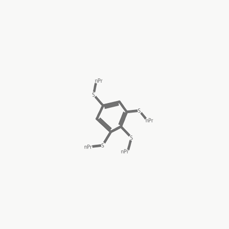 CCCSc1cc(SCCC)c(SCCC)c(SCCC)c1